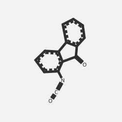 O=C=Nc1cccc2c1C(=O)c1ccccc1-2